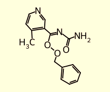 Cc1ccncc1C(=NC(N)=O)OOCc1ccccc1